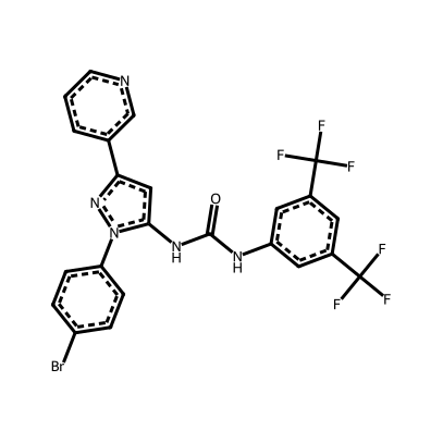 O=C(Nc1cc(C(F)(F)F)cc(C(F)(F)F)c1)Nc1cc(-c2cccnc2)nn1-c1ccc(Br)cc1